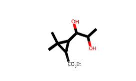 CCOC(=O)C1C(C(O)C(C)O)C1(C)C